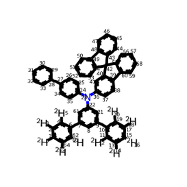 [2H]c1c([2H])c([2H])c(-c2cc(-c3c([2H])c([2H])c([2H])c([2H])c3[2H])cc(N(c3ccc(-c4ccccc4)cc3)c3ccc4c(c3)C3(c5ccccc5-c5ccccc53)c3ccccc3-4)c2)c([2H])c1[2H]